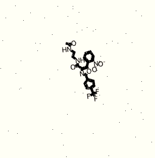 CC(=O)NCCNC(=O)c1nc(-c2ccc(C(F)(F)F)cc2)oc1-c1ccccc1[N+](=O)[O-]